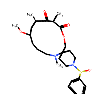 COC1CCCN(C)C2(CCN([S+]([O-])c3ccccc3)CC2)COC(=O)C(C)C(=O)[C@H](C)C1